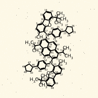 Cc1ccc2c(oc3c(C(C)(C)C)cccc32)c1N(c1ccc(C2CCCC2)cc1)c1cc(C(C)C)c2ccc3c(N(c4ccc(C5CCCC5)cc4)c4c(C)ccc5c4oc4c(C(C)(C)C)cccc45)cc(C(C)C)c4ccc1c2c43